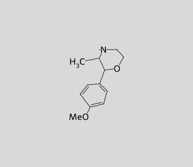 COc1ccc(C2OCC[N]C2C)cc1